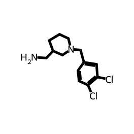 NCC1CCCN(Cc2ccc(Cl)c(Cl)c2)C1